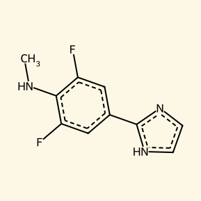 CNc1c(F)cc(-c2ncc[nH]2)cc1F